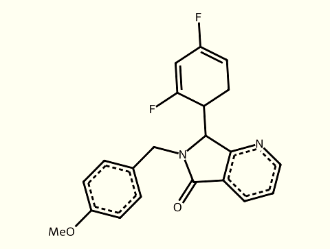 COc1ccc(CN2C(=O)c3cccnc3C2C2CC=C(F)C=C2F)cc1